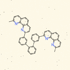 Cc1ccc2ccc3ccc(-c4cccc(-c5ccccc5-c5cccc(-c6ccc7ccc8ccc(C)nc8c7n6)c5)c4)nc3c2n1